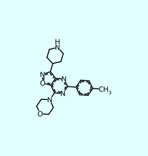 Cc1ccc(-c2nc(N3CCOCC3)c3onc(C4CCNCC4)c3n2)cc1